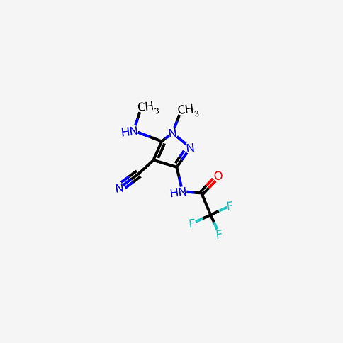 CNc1c(C#N)c(NC(=O)C(F)(F)F)nn1C